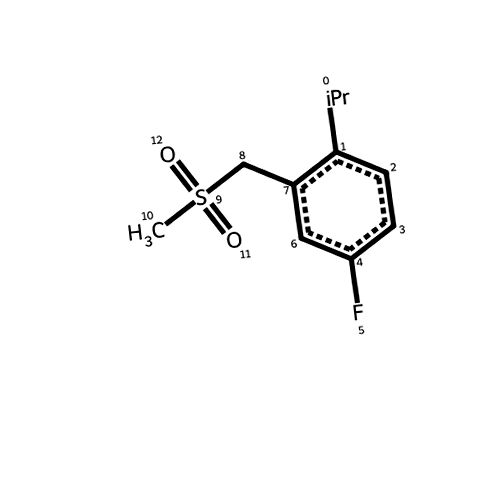 CC(C)c1ccc(F)cc1CS(C)(=O)=O